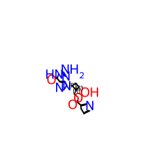 CN1C=CCC(C(=O)OC[C@@H]2[C@@H](CO)C[C@H]2n2cnc3c(=O)[nH]c(N)nc32)=C1